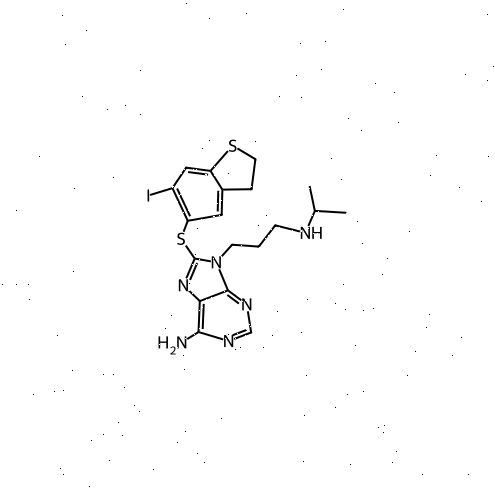 CC(C)NCCCn1c(Sc2cc3c(cc2I)SCC3)nc2c(N)ncnc21